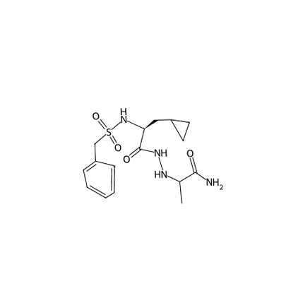 CC(NNC(=O)[C@H](CC1CC1)NS(=O)(=O)Cc1ccccc1)C(N)=O